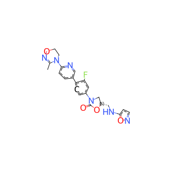 CC1=NOCCN1c1ccc(-c2ccc(N3C[C@H](CNc4ccno4)OC3=O)cc2F)cn1